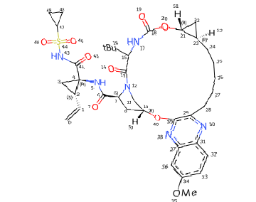 C=C[C@@H]1C[C@]1(NC(=O)[C@@H]1C[C@@H]2CN1C(=O)C(C(C)(C)C)NC(=O)O[C@@H]1C[C@H]1CCCCCc1nc3ccc(OC)cc3nc1O2)C(=O)NS(=O)(=O)C1CC1